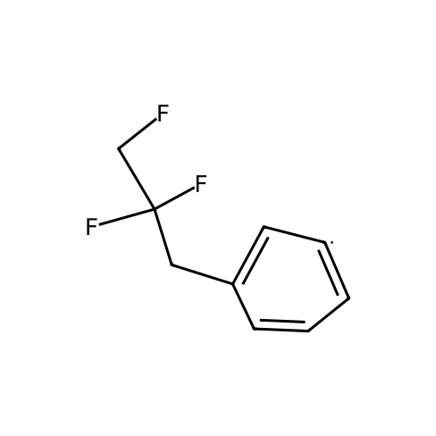 FCC(F)(F)Cc1c[c]ccc1